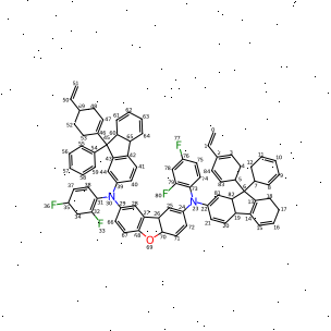 C=CC1=CCC(C2(C3C=CC=CC3)C3=C(C=CCC3)C3C=CC(N(C4=CC5c6cc(N(C7=C(F)CC(F)C=C7)c7ccc8c(c7)C(C7=CCC(C=C)CC7)(c7ccccc7)C7C=CC=CC87)ccc6OC5C=C4)c4ccc(F)cc4F)=CC32)C=C1